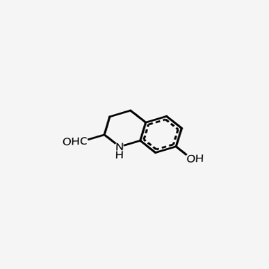 O=CC1CCc2ccc(O)cc2N1